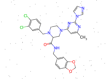 Cc1cc(N2CCN(Cc3ccc(Cl)c(Cl)c3)C(C(=O)NCc3ccc4c(c3)OCO4)C2)nc(-n2ccnc2)n1